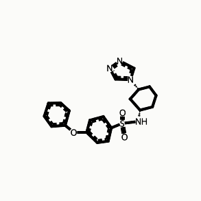 O=S(=O)(N[C@H]1CCC[C@@H](n2cnnc2)C1)c1ccc(Oc2ccccc2)cc1